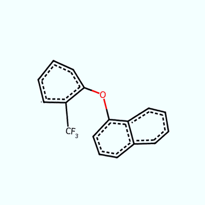 FC(F)(F)c1[c]cccc1Oc1cccc2ccccc12